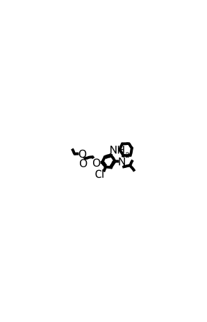 CCOC(=O)COc1cc(N)c(N(CC(C)C)C2CCCCC2)cc1Cl